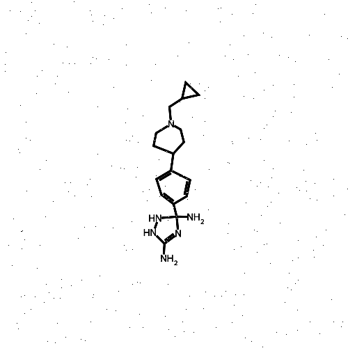 NC1=NC(N)(c2ccc(C3CCN(CC4CC4)CC3)cc2)NN1